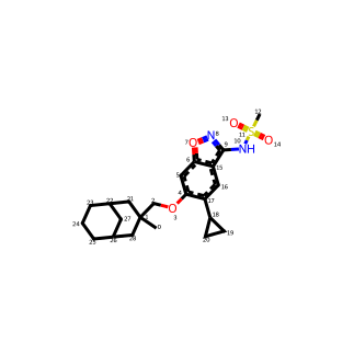 CC1(COc2cc3onc(NS(C)(=O)=O)c3cc2C2CC2)CC2CCCC(C2)C1